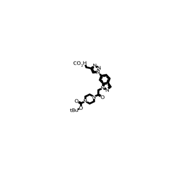 CC(C)(C)OC(=O)N1CCN(C(=O)Cn2ncc3ccc(-n4cc(CC(=O)O)nn4)cc32)CC1